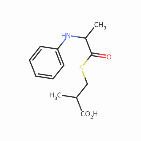 CC(CSC(=O)C(C)Nc1ccccc1)C(=O)O